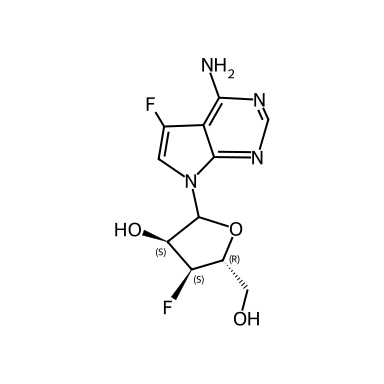 Nc1ncnc2c1c(F)cn2C1O[C@H](CO)[C@@H](F)[C@H]1O